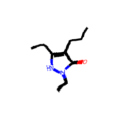 CCCc1c(CC)[nH]n(CC)c1=O